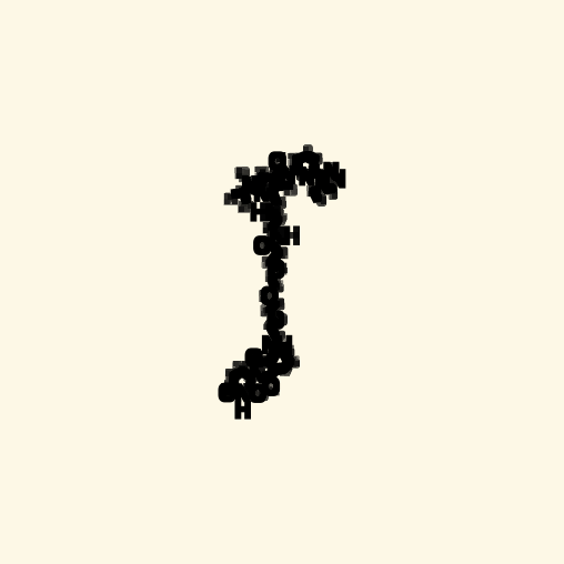 CCn1cnnc1-c1cccc(N2Cc3c(cc(N(C)C(C)C)nc3CNCCNC(=O)CCOCCOCCOCCNc3cccc4c3C(=O)N(C3CCC(=O)NC3=O)C4=O)C2=O)n1